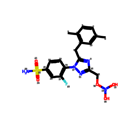 Cc1ccc(C)c(Cc2nc(CON(O)O)nn2-c2ccc(S(N)(=O)=O)cc2F)c1